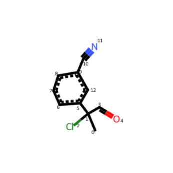 CC(Cl)(C=O)c1cccc(C#N)c1